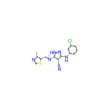 Cc1ncsc1/C=N/c1[nH]nc(Nc2cccc(Cl)c2)c1C#N